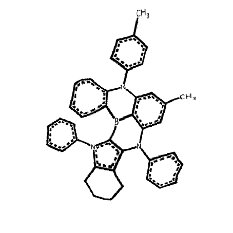 Cc1ccc(N2c3ccccc3B3c4c2cc(C)cc4N(c2ccccc2)c2c4c(n(-c5ccccc5)c23)CCCC4)cc1